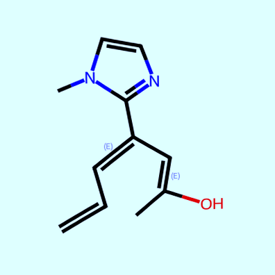 C=C/C=C(\C=C(/C)O)c1nccn1C